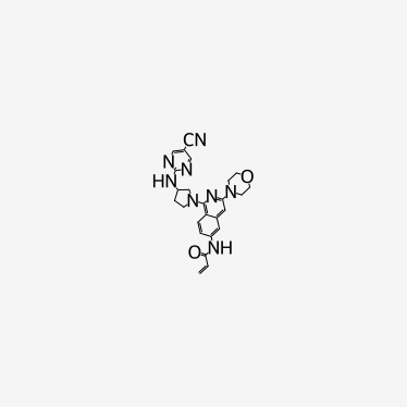 C=CC(=O)Nc1ccc2c(N3CCC(Nc4ncc(C#N)cn4)C3)nc(N3CCOCC3)cc2c1